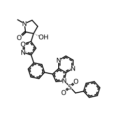 CN1CC[C@@](O)(c2cc(-c3cccc(-c4cn(S(=O)(=O)Cc5ccccc5)c5nccnc45)c3)no2)C1=O